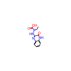 CCN(Nc1nc2ccccc2[nH]c1=O)C(=O)O